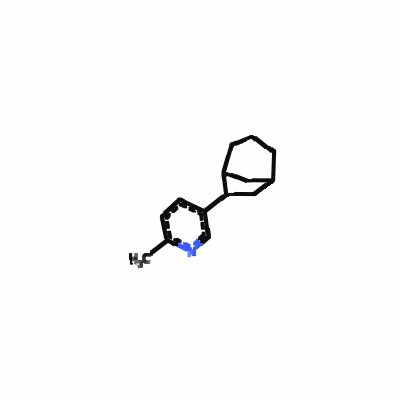 Cc1ccc(C2CC3CCCC2C3)cn1